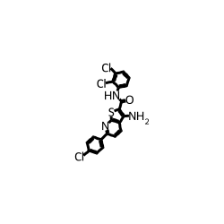 Nc1c(C(=O)Nc2cccc(Cl)c2Cl)sc2nc(-c3ccc(Cl)cc3)ccc12